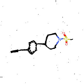 C#Cc1ccc(C2CCN(S(C)(=O)=O)CC2)cc1